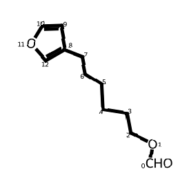 O=COCCCCCCc1ccoc1